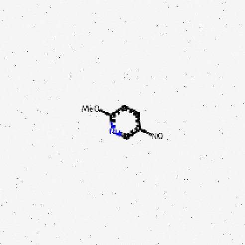 COc1ccc(N=O)cn1